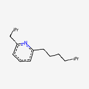 CC(C)CCCCc1cccc(CC(C)C)n1